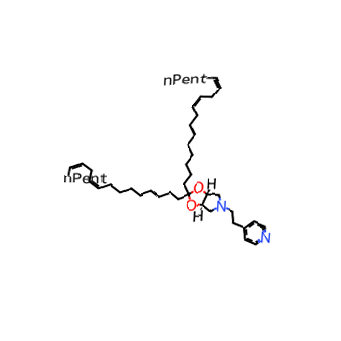 CCCCC/C=C\C/C=C\CCCCCCCCC1(CCCCCCCC/C=C\C/C=C\CCCCC)O[C@@H]2CN(CCc3ccncc3)C[C@H]2O1